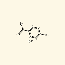 O=C([O-])c1ccc(F)cc1.[Na+]